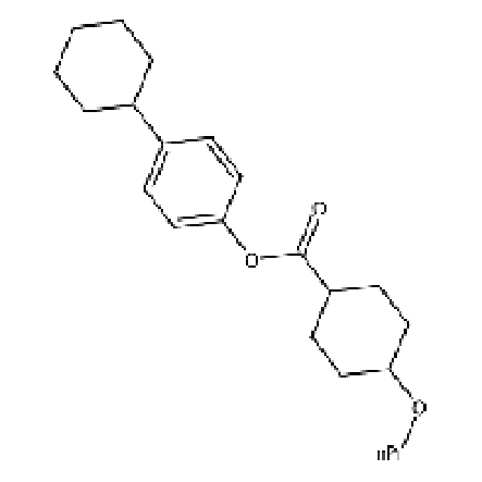 CCCOC1CCC(C(=O)Oc2ccc(C3CCCCC3)cc2)CC1